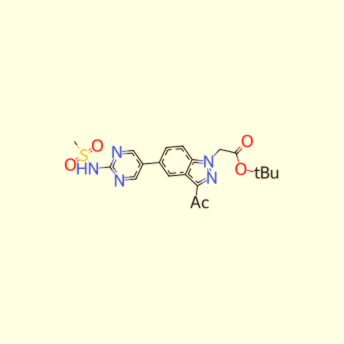 CC(=O)c1nn(CC(=O)OC(C)(C)C)c2ccc(-c3cnc(NS(C)(=O)=O)nc3)cc12